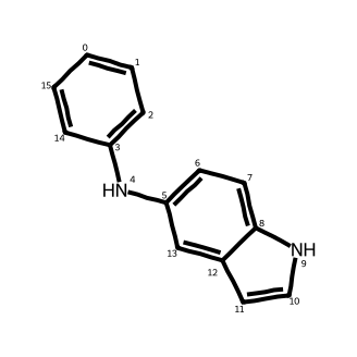 c1ccc(Nc2ccc3[nH]ccc3c2)cc1